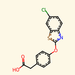 O=C(O)Cc1ccc(Oc2nc3ccc(Cl)cc3s2)cc1